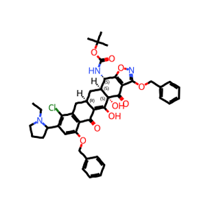 CCN1CCCC1c1cc(OCc2ccccc2)c2c(c1Cl)C[C@H]1C[C@H]3[C@H](NC(=O)OC(C)(C)C)c4onc(OCc5ccccc5)c4C(=O)[C@@]3(O)C(O)=C1C2=O